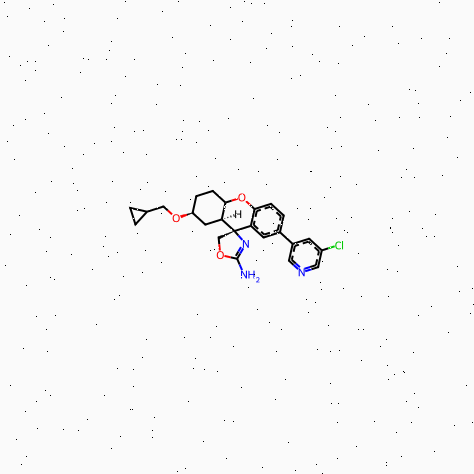 NC1=N[C@@]2(CO1)c1cc(-c3cncc(Cl)c3)ccc1OC1CC[C@H](OCC3CC3)C[C@@H]12